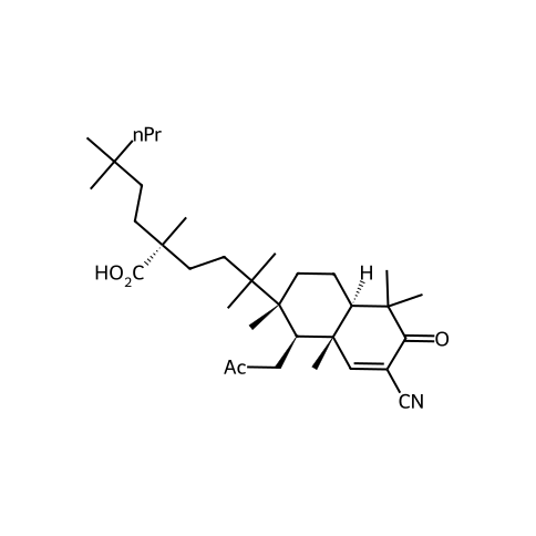 CCCC(C)(C)CC[C@@](C)(CCC(C)(C)[C@]1(C)CC[C@H]2C(C)(C)C(=O)C(C#N)=C[C@]2(C)[C@H]1CC(C)=O)C(=O)O